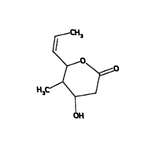 C/C=C\C1OC(=O)CC(O)C1C